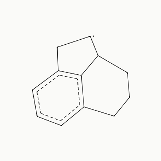 [CH]1Cc2cccc3c2C1CCC3